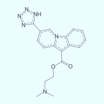 CN(C)CCOC(=O)c1c2ccccc2n2cc(-c3nnn[nH]3)ccc12